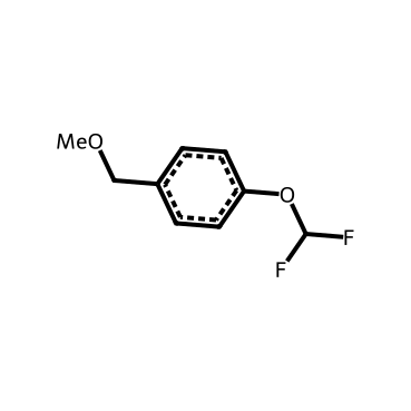 COCc1ccc(OC(F)F)cc1